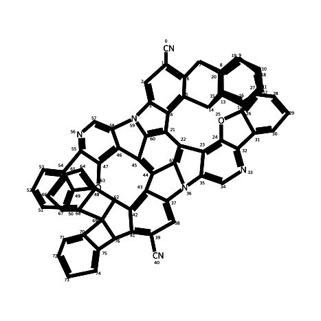 N#Cc1cc2c(c3c1C1c4ccccc4C3c3ccccc31)c1c3c4c5oc6ccccc6c5ncc4n4c5cc(C#N)c6c(c5c(c5c7c8oc9ccccc9c8ncc7n2c15)c34)C1c2ccccc2C12c1ccccc1C62